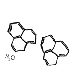 C1=Cc2cccc3cccc(c23)C1.C1=Cc2cccc3cccc(c23)C1.O